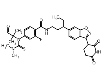 CCC(CCNC(=O)c1ccc(N(C(=S)N(C)C)C(C)(C)C=O)cc1F)c1ccc2c(C3CCC(=O)NC3=O)noc2c1